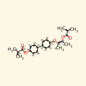 C=C(C)C(=O)O/C(C)=C(/C)Oc1ccc(-c2ccc(OC(=O)C(=C)C)cc2)cc1